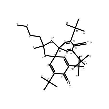 CCCCC1(C)SC2(C=C(C(C)(C)C)C(=O)C(C(C)(C)C)=C2)C2(C=C(C(C)(C)C)C(=O)C(C(C)(C)C)=C2)S1